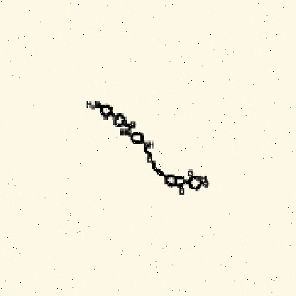 Nc1ccc(N2CCN(C(=O)N[C@H]3CC[C@@H](NCCOCCC#Cc4ccc5c(c4)CN(C4CCC(=O)NC4=O)C5=O)CC3)CC2)nc1